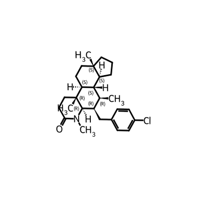 C[C@H]1[C@@H](Cc2ccc(Cl)cc2)[C@H]2N(C)C(=O)CC[C@]2(C)[C@H]2CC[C@]3(C)CCC[C@H]3[C@H]12